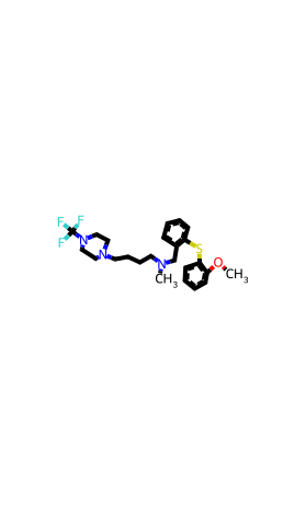 COc1ccccc1Sc1ccccc1CN(C)CCCCN1CCN(C(F)(F)F)CC1